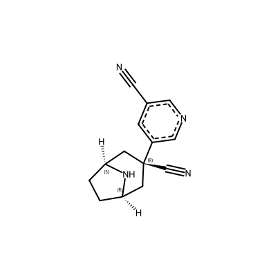 N#Cc1cncc([C@]2(C#N)C[C@H]3CC[C@@H](C2)N3)c1